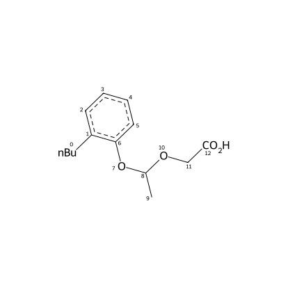 CCCCc1ccccc1OC(C)OCC(=O)O